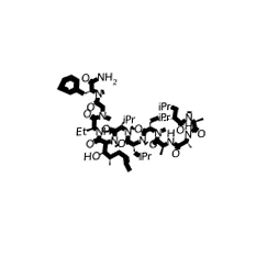 C/C=C/C[C@H](C)[C@H](O)C(C(=O)N[C@@H](CC)C(=O)N(C)CC(=O)N(C)[C@H](Cc1ccccc1)C(N)=O)N(C)C(=O)[C@H](C(C)C)N(C)C(=O)[C@@H](CC(C)C)N(C)C(=O)[C@H](CC(C)C)N(C)C(=O)[C@H](C)NC(=O)[C@@H](C)NC(=O)[C@H](C)N(C)C(=O)[C@H](C)CC(C)C